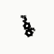 CCOC1CCC(C2(N)CCCCC2)CC1